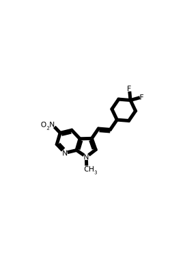 Cn1cc(/C=C/C2CCC(F)(F)CC2)c2cc([N+](=O)[O-])cnc21